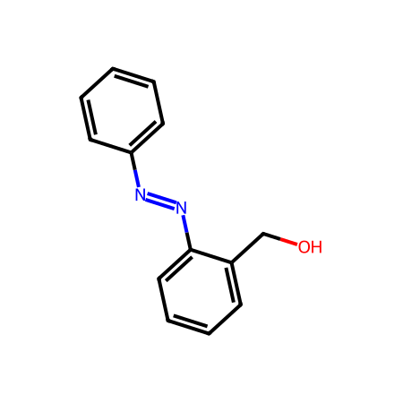 OCc1ccccc1/N=N/c1ccccc1